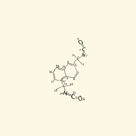 CC(C)(N=C=O)c1ccc2c(C(C)(C)N=C=O)cccc2c1